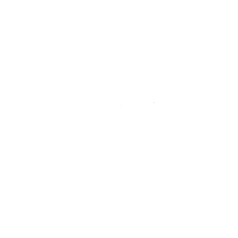 CC1=CC[C]([Zr]([CH2]COCl)[C]2=C(C)C(C)=CC2)=C1C